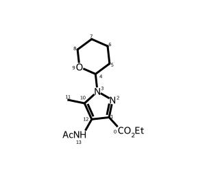 CCOC(=O)c1nn(C2CCCCO2)c(C)c1NC(C)=O